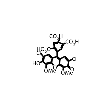 COc1c2oc3c(OC)c(O)c(Cl)cc3c(-c3cc(C(=O)O)c(C(=O)O)cc3C(=O)O)c-2cc(Cl)c1=O